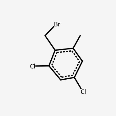 Cc1cc(Cl)cc(Cl)c1CBr